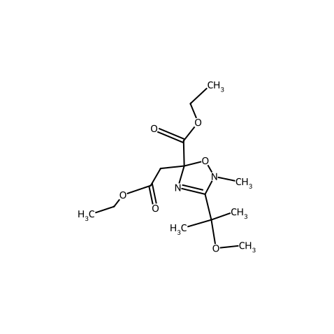 CCOC(=O)CC1(C(=O)OCC)N=C(C(C)(C)OC)N(C)O1